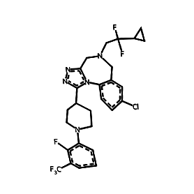 Fc1c(N2CCC(c3nnc4n3-c3ccc(Cl)cc3CN(CC(F)(F)C3CC3)C4)CC2)cccc1C(F)(F)F